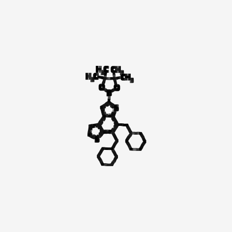 CC1(C)OB(c2cc3c(s2)c(CC2CCCCC2)c(CC2CCCCC2)c2sccc23)OC1(C)C